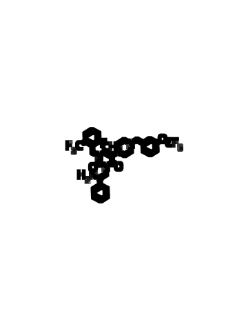 Cc1c(N2CCN(Cc3cccc(OC(F)(F)F)c3)CC2)c(=O)n(C[C@@H](N)c2ccccc2)c(=O)n1Cc1c(F)cccc1C(F)(F)F